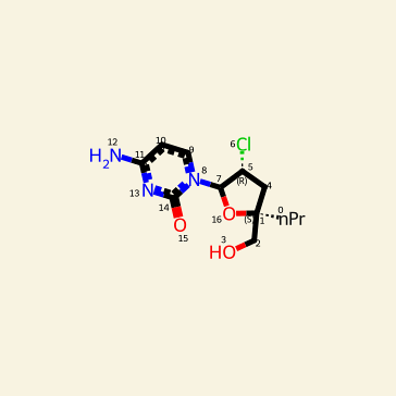 CCC[C@@]1(CO)C[C@@H](Cl)C(n2ccc(N)nc2=O)O1